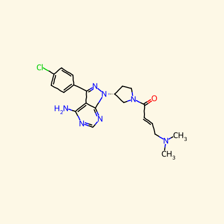 CN(C)CC=CC(=O)N1CC[C@@H](n2nc(-c3ccc(Cl)cc3)c3c(N)ncnc32)C1